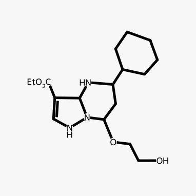 CCOC(=O)C1=CNN2C(OCCO)CC(C3CCCCC3)NC12